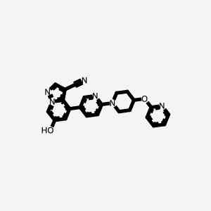 N#Cc1cnn2cc(O)cc(-c3ccc(N4CCC(Oc5ccccn5)CC4)nc3)c12